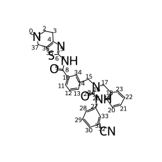 CN1CCc2nc(NC(=O)c3cccc(CN(Cc4ccccc4)C(=O)Nc4cccc(C#N)c4)c3)sc2C1